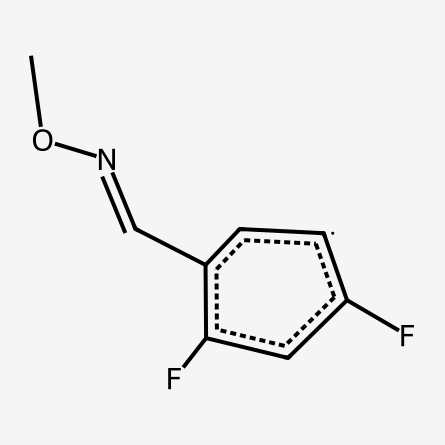 CON=Cc1c[c]c(F)cc1F